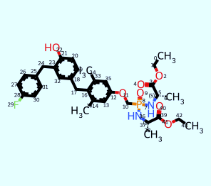 CCOC(=O)[C@H](C)NP(=O)(COc1cc(C)c(Cc2ccc(O)c(Cc3ccc(F)cc3)c2)c(C)c1)N[C@@H](C)C(=O)OCC